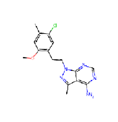 COc1cc(C)c(Cl)cc1CCn1nc(C)c2c(N)ncnc21